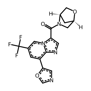 O=C(c1cnc2c(-c3cnco3)cc(C(F)(F)F)cn12)N1C[C@H]2C[C@@H]1CO2